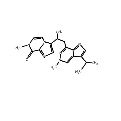 CC(C)c1cnc2c(CC(C)c3cnc4c(=O)n(C)ccn34)nn(C)cc1-2